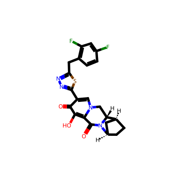 O=C1c2c(O)c(=O)c(-c3nnc(Cc4ccc(F)cc4F)s3)cn2C[C@@H]2[C@H]3CC[C@H](C3)N12